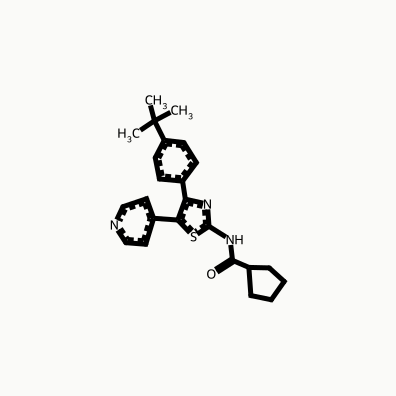 CC(C)(C)c1ccc(-c2nc(NC(=O)C3CCCC3)sc2-c2ccncc2)cc1